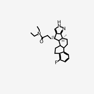 CCN(CC)C(=O)CC[C@@H]1c2c[nH]nc2[C@@]2(C)CCC3c4cccc(F)c4CCC3C12